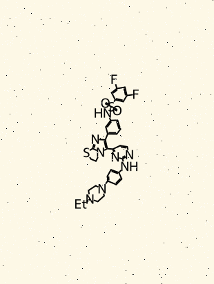 CCN1CCN(c2ccc(Nc3nccc(-c4c(-c5cccc(NS(=O)(=O)c6cc(F)cc(F)c6)c5)nc5n4CCS5)n3)cc2)CC1